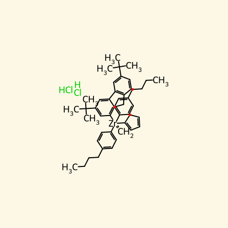 Cl.Cl.[CH2]=[Zr]([C]1=CC=CC1)([c]1ccc(CCCC)cc1)([c]1ccc(CCCC)cc1)[c]1cc(C(C)(C)C)cc2c1Cc1ccc(C(C)(C)C)cc1-2